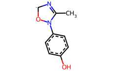 CC1=N[CH]ON1c1ccc(O)cc1